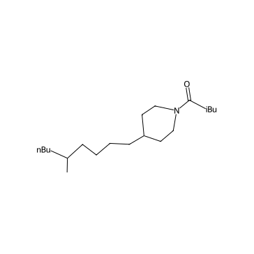 CCCCC(C)CCCCC1CCN(C(=O)C(C)CC)CC1